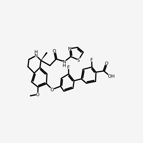 COc1cc2c(cc1Oc1ccc(-c3ccc(C(=O)O)c(F)c3)c(F)c1)[C@@](C)(CC(=O)Nc1nccs1)NCC2